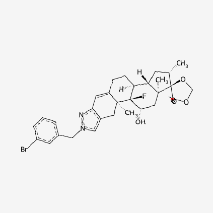 C[C@H]1C[C@H]2[C@@H]3CCC4=Cc5nn(Cc6cccc(Br)c6)cc5C[C@]4(C)[C@@]3(F)[C@@H](O)C[C@]2(C)[C@]12OCOC21COCO1